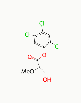 COC(CO)C(=O)Oc1cc(Cl)c(Cl)cc1Cl